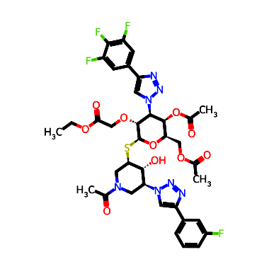 CCOC(=O)CO[C@@H]1[C@@H](n2cc(-c3cc(F)c(F)c(F)c3)nn2)[C@@H](OC(C)=O)[C@@H](COC(C)=O)O[C@H]1S[C@@H]1CN(C(C)=O)C[C@H](n2cc(-c3cccc(F)c3)nn2)[C@H]1O